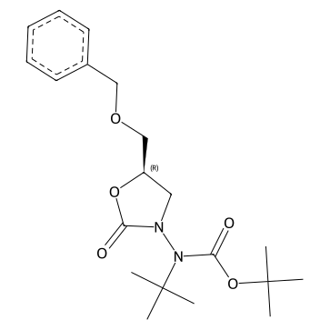 CC(C)(C)OC(=O)N(N1C[C@H](COCc2ccccc2)OC1=O)C(C)(C)C